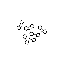 c1ccc(B2c3ccccc3-c3ccccc3N2c2cc(-c3cccc(-n4c5ccccc5c5ccccc54)c3)cc(-n3c4ccccc4c4cc(-n5c6ccccc6c6ccccc65)ccc43)c2)cc1